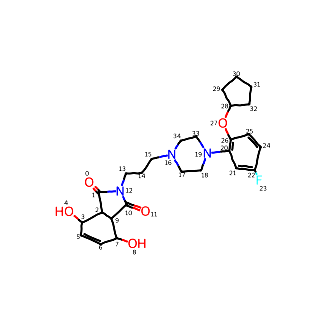 O=C1C2C(O)C=CC(O)C2C(=O)N1CCCN1CCN(c2cc(F)ccc2OC2CCCC2)CC1